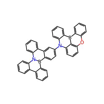 c1ccc2c(c1)Oc1cccc3c1B2c1ccccc1N3c1ccc2c(c1)-c1ccccc1N1B2c2ccccc2-c2ccccc21